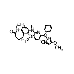 CCN1C(=O)CCCc2c1ccc(Nc1ncc(Cl)c(N(c3ccccc3)n3cc(OC)cn3)n1)c2OC